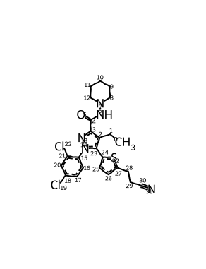 CCc1c(C(=O)NN2CCCCC2)nn(-c2ccc(Cl)cc2Cl)c1-c1ccc(CCC#N)s1